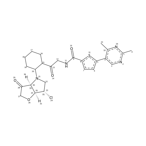 Cc1ncc(-c2ccc(C(=O)NCC(=O)C3CCCCC3N3C[C@H](Cl)[C@H]4OCC(=O)[C@H]43)s2)c(C)n1